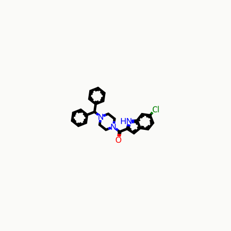 O=C(c1cc2ccc(Cl)cc2[nH]1)N1CCN(C(c2ccccc2)c2ccccc2)CC1